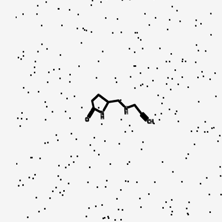 C#CCNCC1CCC(=O)N1